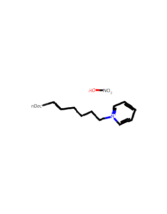 CCCCCCCCCCCCCCCC[n+]1ccccc1.O=[N+]([O-])O